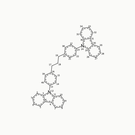 c1ccc2c(c1)c1ccccc1n2-c1ccc(CCCc2ccc(-n3c4ccccc4c4ccccc43)cc2)cc1